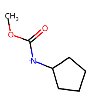 COC(=O)[N]C1CCCC1